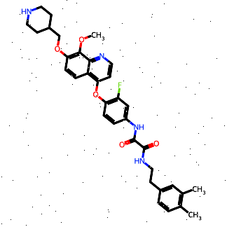 COc1c(OCC2CCNCC2)ccc2c(Oc3ccc(NC(=O)C(=O)NCCc4ccc(C)c(C)c4)cc3F)ccnc12